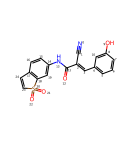 N#C/C(=C\c1cccc(O)c1)C(=O)Nc1ccc2c(c1)S(=O)(=O)C=C2